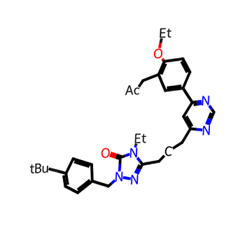 CCOc1ccc(-c2cc(CCCc3nn(Cc4ccc(C(C)(C)C)cc4)c(=O)n3CC)ncn2)cc1CC(C)=O